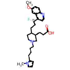 COc1ccc2nccc([C@@H](F)CCC3CCN(CCCCc4cccn4C)CC3CCC(=O)O)c2c1